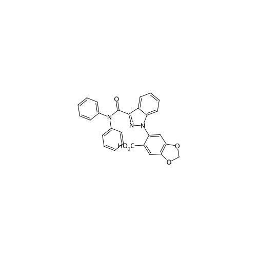 O=C(O)c1cc2c(cc1-n1nc(C(=O)N(c3ccccc3)c3ccccc3)c3ccccc31)OCO2